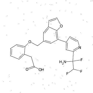 NC(F)(c1cc(-c2cc(COc3ccccc3CC(=O)O)cc3ccoc23)ccn1)C(F)F